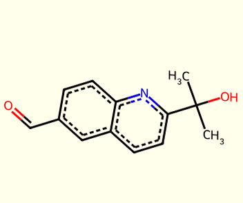 CC(C)(O)c1ccc2cc(C=O)ccc2n1